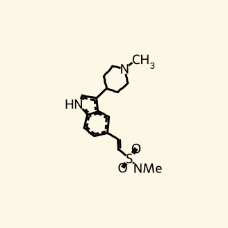 CNS(=O)(=O)C=Cc1ccc2[nH]cc(C3CCN(C)CC3)c2c1